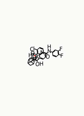 O=C(Nc1ccc(F)c(F)c1)c1ccc(Cl)c(S(=O)(=O)[C@H]2CC3CC(C2)[C@]3(O)C(O)C(O)c2cccnc2)c1